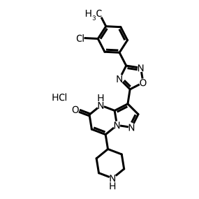 Cc1ccc(-c2noc(-c3cnn4c(C5CCNCC5)cc(=O)[nH]c34)n2)cc1Cl.Cl